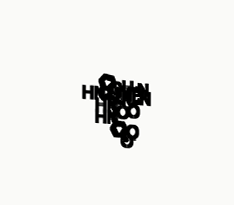 N#CCNC(=O)C(CNC(=O)C#N)(NC(=O)Nc1ccc2c(c1)OCO2)c1c[nH]c2ccccc12